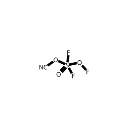 N#COS(=O)(F)(F)OF